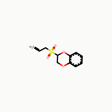 C=CCS(=O)(=O)C1COc2ccccc2O1